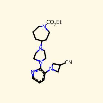 CCOC(=O)N1CCCC(N2CCN(c3ncccc3N3CC(C#N)C3)CC2)CC1